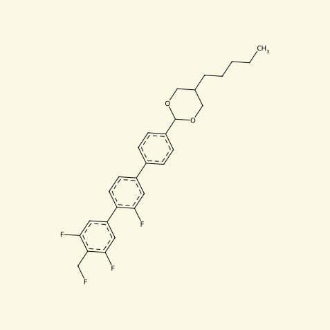 CCCCCC1COC(c2ccc(-c3ccc(-c4cc(F)c(CF)c(F)c4)c(F)c3)cc2)OC1